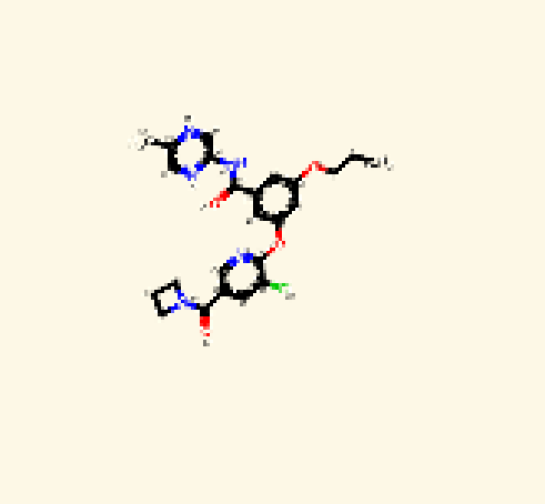 CCCOc1cc(Oc2ncc(C(=O)N3CCC3)cc2Cl)cc(C(=O)Nc2cnc(C)cn2)c1